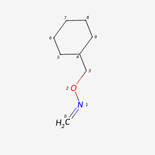 C=NOCC1CCCCC1